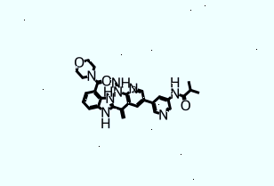 C=C(c1nc2c(C(=O)N3CCOCC3)cccc2[nH]1)c1cc(-c2cncc(NC(=O)C(C)C)c2)cnc1NN